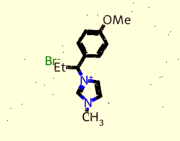 CCC(c1ccc(OC)cc1)[n+]1ccn(C)c1.[Br-]